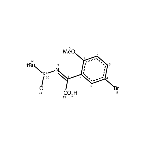 COc1ccc(Br)cc1C(=N[S+]([O-])C(C)(C)C)C(=O)O